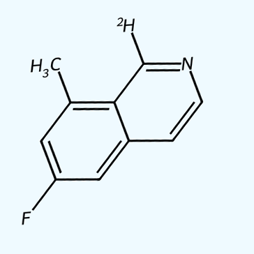 [2H]c1nccc2cc(F)cc(C)c12